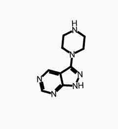 c1ncc2c(N3CCNCC3)n[nH]c2n1